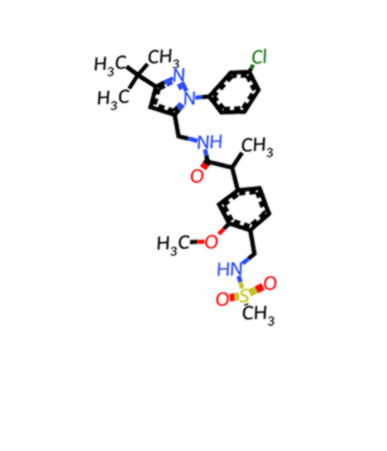 COc1cc(C(C)C(=O)NCc2cc(C(C)(C)C)nn2-c2cccc(Cl)c2)ccc1CNS(C)(=O)=O